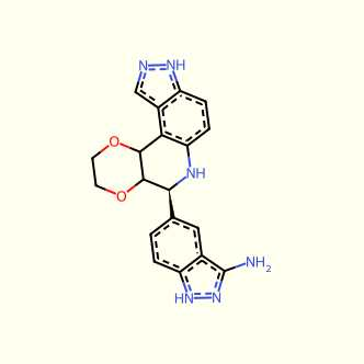 Nc1n[nH]c2ccc([C@@H]3Nc4ccc5[nH]ncc5c4C4OCCOC43)cc12